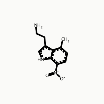 Cc1ccc([N+](=O)[O-])c2[nH]cc(CCN)c12